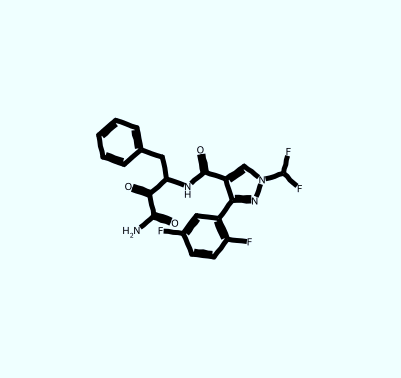 NC(=O)C(=O)C(Cc1ccccc1)NC(=O)c1cn(C(F)F)nc1-c1cc(F)ccc1F